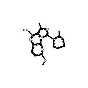 COc1ccc2nc(N)c3c(C)nc(-c4ccccc4C)n3c2n1